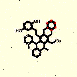 Cc1ccccc1C1c2ccccc2C(C)c2c(CC(C)(C)C)c3c(c(CCc4cc(O)ccc4O)c21)C1c2ccccc2C3c2ccccc21